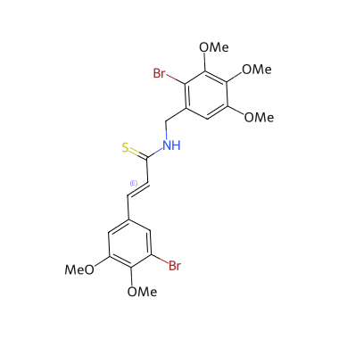 COc1cc(/C=C/C(=S)NCc2cc(OC)c(OC)c(OC)c2Br)cc(Br)c1OC